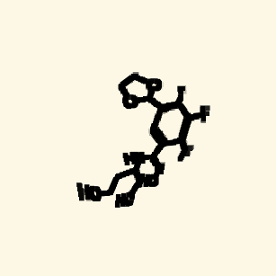 OCCC(CO)N/C(=N\O)c1cc(C2OCCO2)c(F)c(F)c1F